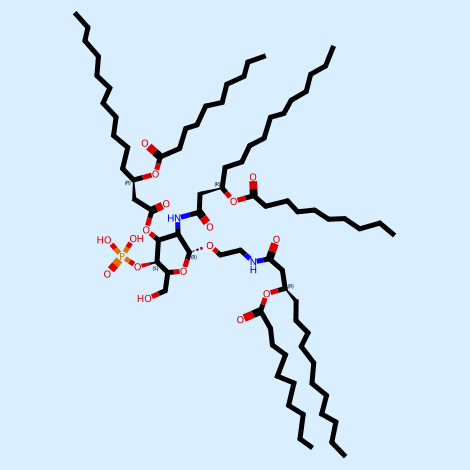 CCCCCCCCCCC[C@H](CC(=O)NCCO[C@@H]1OC(CO)[C@@H](OP(=O)(O)O)C(OC(=O)C[C@@H](CCCCCCCCCCC)OC(=O)CCCCCCCCC)C1NC(=O)C[C@@H](CCCCCCCCCCC)OC(=O)CCCCCCCCC)OC(=O)CCCCCCCCC